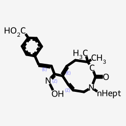 CCCCCCCN1C\C=C/C(C(/C=C/c2ccc(C(=O)O)cc2)=N\O)=C\CC(C)(C)CC1=O